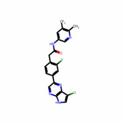 Cc1ncc(NC(=O)Cc2ccc(-c3cnc4[nH]cc(Cl)c4n3)cc2F)cc1C(F)(F)F